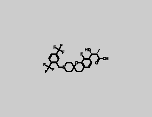 C[C@H](C(=O)O)[C@@H](O)c1ccc2c(c1F)OC1(CC2)CCN(Cc2cc(C(F)(F)F)ccc2C(F)(F)F)CC1